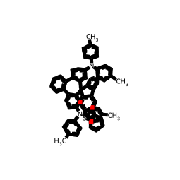 Cc1ccc(N(c2ccc(C)cc2)c2ccc3c(c2)C2(c4cc(N(c5ccc(C)cc5)c5ccc(C)cc5)ccc4-c4ccccc4-3)c3ccccc3-c3cc4c(cc32)sc2ccccc24)cc1